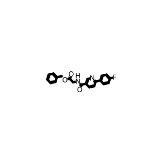 O=C(CNC(=O)c1ccc(-c2ccc(F)cc2)nc1)OCc1ccccc1